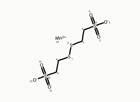 O=S(=O)([O-])CCSSCCS(=O)(=O)[O-].[Mn+2]